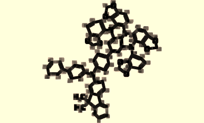 CC1(C)c2ccccc2-c2ccc(N(c3ccc(-c4ccccc4)cc3)c3ccc(-c4cc5c6c(c4)N(c4cccc7c4OCO7)c4c(ccc7c4OCO7)B6c4ccc6c(c4N5c4cccc5c4OCO5)OCO6)cc3)cc21